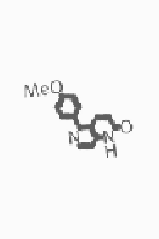 COc1ccc(-c2nccc3[nH]c(=O)ccc23)cc1